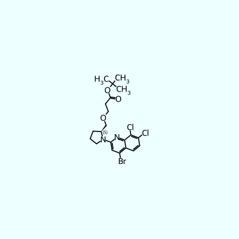 CC(C)(C)OC(=O)CCOC[C@@H]1CCCN1c1cc(Br)c2ccc(Cl)c(Cl)c2n1